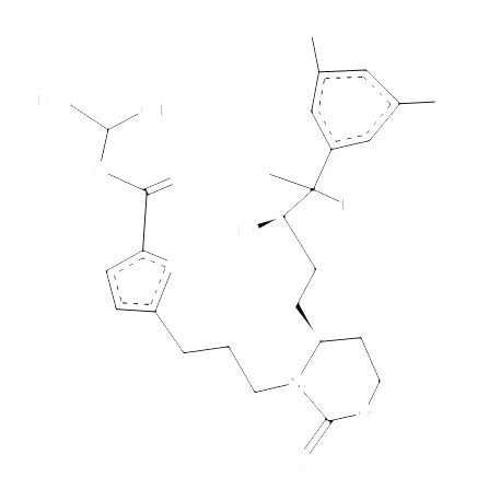 CC(C)OC(=O)c1ccc(CCCN2C(=O)OCC[C@@H]2CC[C@@H](O)C(F)(F)c2cc(Cl)cc(Cl)c2)s1